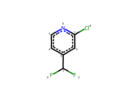 FC(F)c1ccnc(Cl)c1